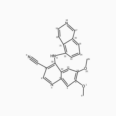 COc1cc2ncc(C#N)c(Nc3cccc4cnccc34)c2cc1OC